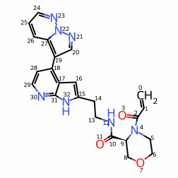 C=CC(=O)N1CCOC[C@H]1C(=O)NCCc1cc2c(-c3cnn4ncccc34)ccnc2[nH]1